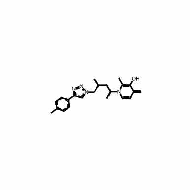 C=C1C=CN(C(C)CC(C)Cn2cc(-c3ccc(C)cc3)nn2)C(C)=C1O